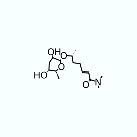 C[C@H](CC/C=C/C(=O)N(C)C)O[C@@H]1O[C@@H](C)[C@H](O)C[C@H]1O